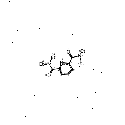 CCN(CC)C(=O)c1cccc(C(=O)N(CC)CC)n1